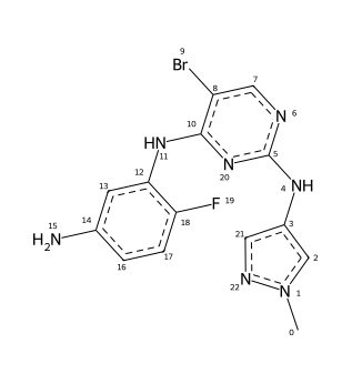 Cn1cc(Nc2ncc(Br)c(Nc3cc(N)ccc3F)n2)cn1